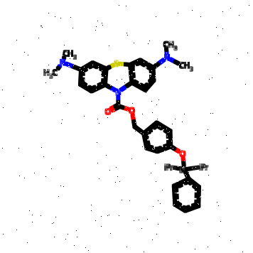 CC(C)[Si](Oc1ccc(COC(=O)N2c3ccc(N(C)C)cc3Sc3cc(N(C)C)ccc32)cc1)(c1ccccc1)C(C)C